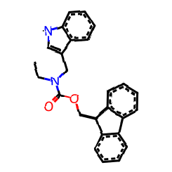 CCN(CC1=C[N]c2ccccc21)C(=O)OCC1c2ccccc2-c2ccccc21